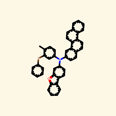 Cc1ccc(N(c2ccc3c(c2)oc2ccccc23)c2ccc3ccc4c5ccccc5ccc4c3c2)cc1Sc1ccccc1